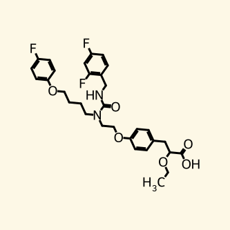 CCOC(Cc1ccc(OCCN(CCCCOc2ccc(F)cc2)C(=O)NCc2ccc(F)cc2F)cc1)C(=O)O